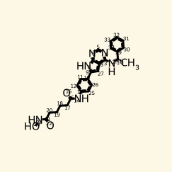 C[C@@H](Nc1ncnc2[nH]c(-c3ccc(NC(=O)CCCCC(=O)NO)cc3)cc12)c1ccccc1